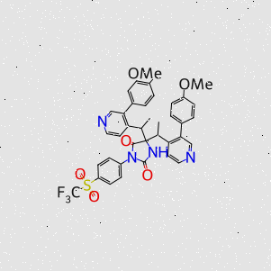 COc1ccc(-c2cnccc2C(C)C2(C(C)c3ccncc3-c3ccc(OC)cc3)NC(=O)N(c3ccc(S(=O)(=O)C(F)(F)F)cc3)C2=O)cc1